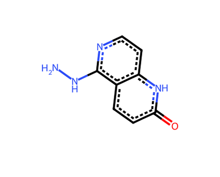 NNc1nccc2[nH]c(=O)ccc12